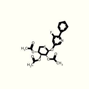 CC(=O)O[C@@H]1[C@@H](OC(C)=O)[C@H](OC(C)=O)CS[C@H]1Oc1cnc(-c2ccccc2)c(F)c1